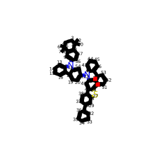 CC1(C)CCC(C)(C)c2cc(-n3c4ccccc4c4ccc(N(c5ccc6sc7cc(-c8ccccc8)ccc7c6c5)c5ccccc5-c5ccccc5)cc43)ccc21